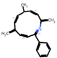 C=C1/C=C\C(c2ccccc2)=N/C(=C)/C=C\C(C)/C=C\1